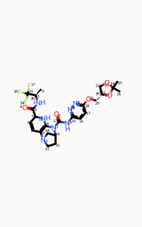 C[C@@H](NC(=O)C1C=CC2=C(N1)N(C(=O)Nc1ccc(OC[C@@H]3COC(C)(C)O3)nn1)C1CCN2C1)C(F)(F)F